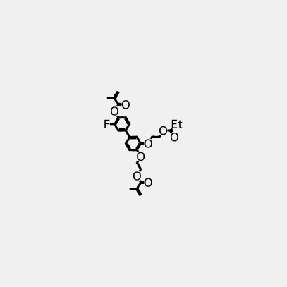 C=C(C)C(=O)OCCOc1ccc(-c2ccc(OC(=O)C(=C)C)c(F)c2)cc1OCCOC(=O)CC